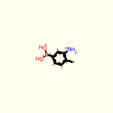 Cc1ccc(B(O)O)cc1N